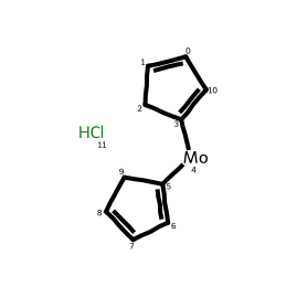 C1=CC[C]([Mo][C]2=CC=CC2)=C1.Cl